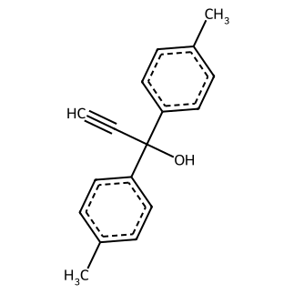 C#CC(O)(c1ccc(C)cc1)c1ccc(C)cc1